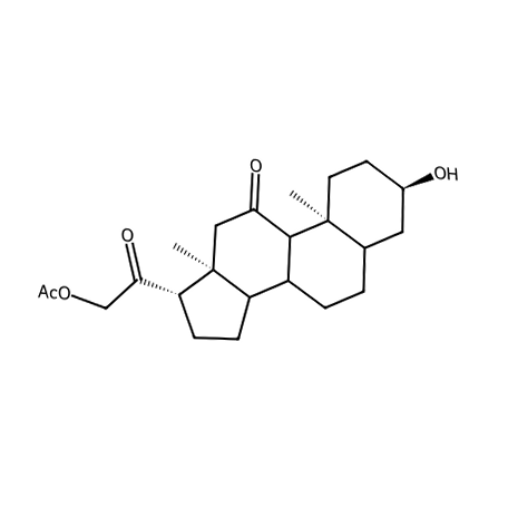 CC(=O)OCC(=O)[C@H]1CCC2C3CCC4C[C@H](O)CC[C@]4(C)C3C(=O)C[C@@]21C